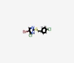 Clc1ccc(CSc2ncc(Br)c(Cl)n2)cc1